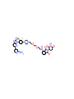 Cc1nc2ccc(-c3ccnc(N)c3)nc2n1-c1ccc(N2CCN(CCOCCOCCNc3cccc4c3C(=O)N(C3CCC(=O)NC3=O)C4=O)CC2)c(F)c1